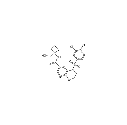 O=C(NC1(CO)CCC1)c1cnc2c(c1)N(S(=O)(=O)c1ccc(Cl)c(Cl)c1)CCO2